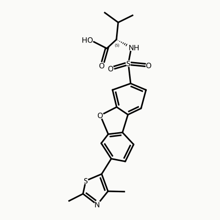 Cc1nc(C)c(-c2ccc3c(c2)oc2cc(S(=O)(=O)N[C@H](C(=O)O)C(C)C)ccc23)s1